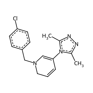 Cc1nnc(C)n1C1=CN(Cc2ccc(Cl)cc2)CC=C1